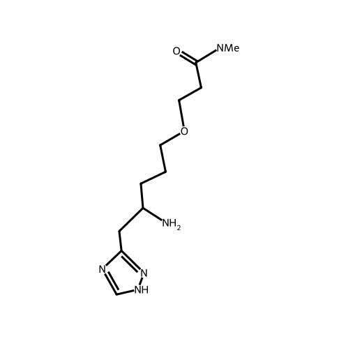 CNC(=O)CCOCCCC(N)Cc1nc[nH]n1